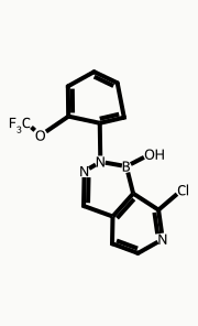 OB1c2c(ccnc2Cl)C=NN1c1ccccc1OC(F)(F)F